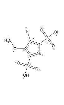 COc1c(S(=O)(=O)O)sc(S(=O)(=O)O)c1F